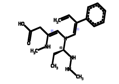 C=C/C(=C\N(/C=C(/CC(=O)O)NC)[C@H](CC)NNC)c1ccccc1